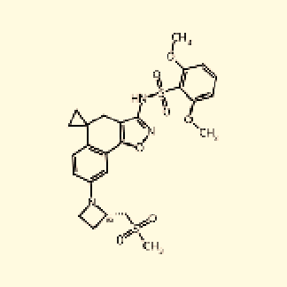 COc1cccc(OC)c1S(=O)(=O)Nc1noc2c1CC1(CC1)c1ccc(N3CC[C@H]3CS(C)(=O)=O)cc1-2